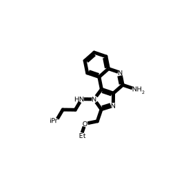 CCOCc1nc2c(N)nc3ccccc3c2n1NCCC(C)C